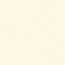 CNc1cc(Nc2nc(-c3cnc(N)nc3)cc3cc[nH]c(=O)c23)ccc1C